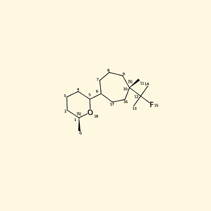 C[C@H]1CCCC(C2CCC[C@](C)(C(C)(C)F)CC2)O1